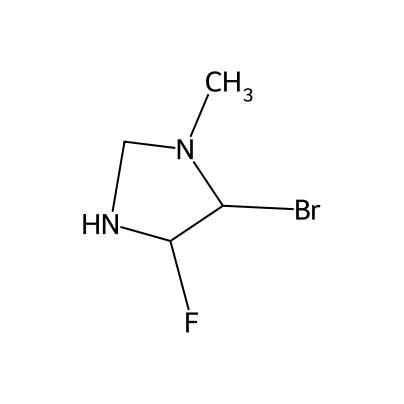 CN1CNC(F)C1Br